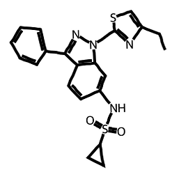 CCc1csc(-n2nc(-c3ccccc3)c3ccc(NS(=O)(=O)C4CC4)cc32)n1